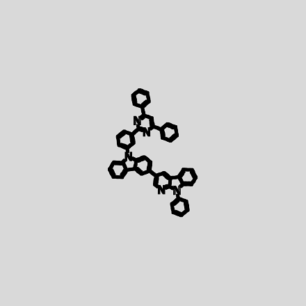 c1ccc(-c2cc(-c3ccccc3)nc(-c3cccc(-n4c5ccccc5c5cc(-c6cnc7c(c6)c6ccccc6n7-c6ccccc6)ccc54)c3)n2)cc1